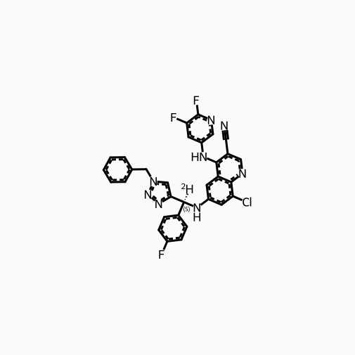 [2H][C@](Nc1cc(Cl)c2ncc(C#N)c(Nc3cnc(F)c(F)c3)c2c1)(c1ccc(F)cc1)c1cn(Cc2ccccc2)nn1